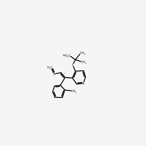 C=N/C=C(\c1ccccc1C)c1cnccc1SC(C)(C)C(=O)O